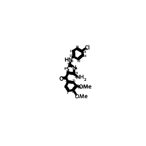 COc1ccc(C(=O)c2sc(Nc3ccc(Cl)cc3)nc2N)cc1OC